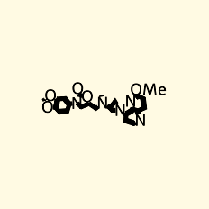 COc1ccc2nccc(N3CC(N(C)CC4CN(c5ccc6c(c5)OCO6)C(=O)O4)C3)c2n1